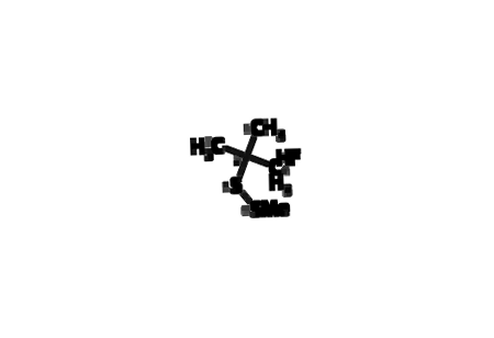 CSSC(C)(C)C.F